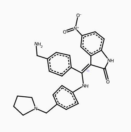 NCc1ccc(/C(Nc2ccc(CN3CCCC3)cc2)=C2/C(=O)Nc3ccc([N+](=O)[O-])cc32)cc1